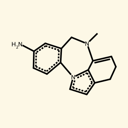 CN1Cc2cc(N)ccc2-n2ccc3c2C1=CCC3